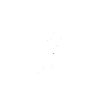 CC(C)C(=O)C(NC(=O)NCc1cccc(F)c1)C(C)(C)C